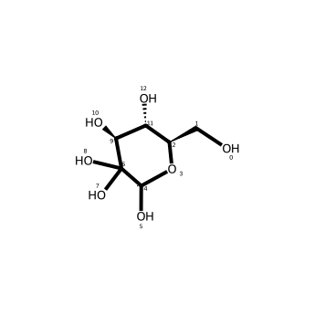 OC[C@H]1O[C](O)C(O)(O)[C@@H](O)[C@@H]1O